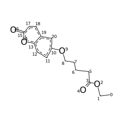 CCOC(=O)CCCCOc1ccc2oc(=O)ccc2c1